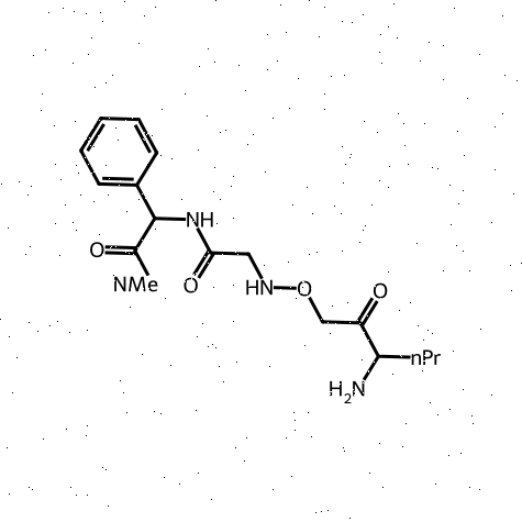 CCCC(N)C(=O)CONCC(=O)NC(C(=O)NC)c1ccccc1